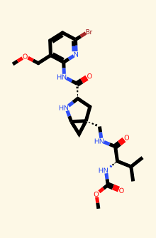 COCc1ccc(Br)nc1NC(=O)[C@@H]1C[C@@]2(CNC(=O)[C@@H](NC(=O)OC)C(C)C)CC2N1